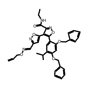 C=CCON=Cc1cc(-c2c(C(=O)NCC)noc2-c2cc(C(C)C)c(OCc3ccccc3)cc2OCc2ccccc2)on1